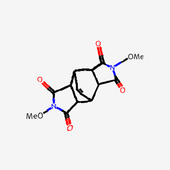 CON1C(=O)C2C3C=CC(C2C1=O)C1C(=O)N(OC)C(=O)C31